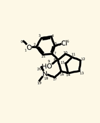 COc1ccc(Cl)c(C2(O)CC3CCC(C3)C2CN(C)C)c1